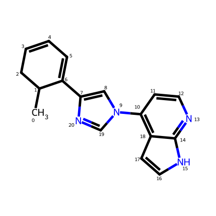 CC1CC=CC=C1c1cn(-c2ccnc3[nH]ccc23)cn1